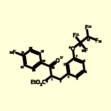 CCOC(=O)C(Cc1cccc(OC(F)(F)C(F)F)c1)C(=O)c1ccc(F)cc1